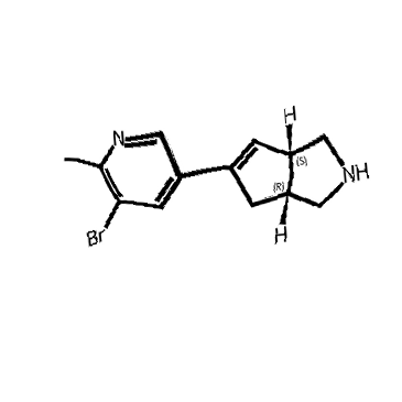 Cc1ncc(C2=C[C@@H]3CNC[C@@H]3C2)cc1Br